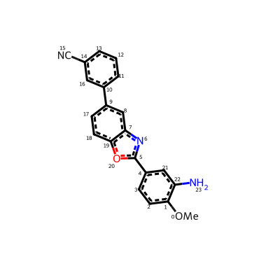 COc1ccc(-c2nc3cc(-c4cccc(C#N)c4)ccc3o2)cc1N